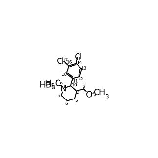 Br.COCC1CCCN(C)C1c1ccc(Cl)c(Cl)c1